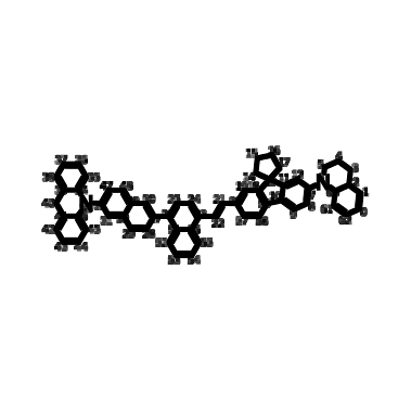 C1=CC2CCCN(c3ccc4c(c3)C3(CCCC3)c3cc(/C=C/c5ccc(-c6ccc7cc(N8c9ccccc9Cc9ccccc98)ccc7c6)c6ccccc56)ccc3-4)C2C=C1